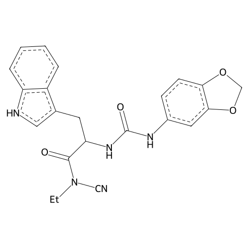 CCN(C#N)C(=O)C(Cc1c[nH]c2ccccc12)NC(=O)Nc1ccc2c(c1)OCO2